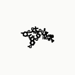 C=C[C@@H]1C[C@]1(NC(=O)[C@@H]1C[C@@H](Oc2nccc3cc(OC)ccc23)CN1C(=O)[C@@H](NC(=O)CO[C@@H]1C[C@H](C)CC[C@H]1C(C)C)C(C)(C)C)C(=O)NS(=O)(=O)C1CC1